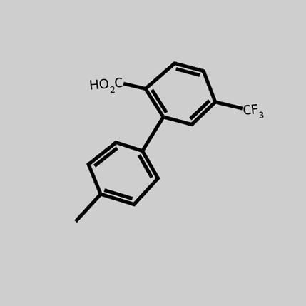 Cc1ccc(-c2cc(C(F)(F)F)ccc2C(=O)O)cc1